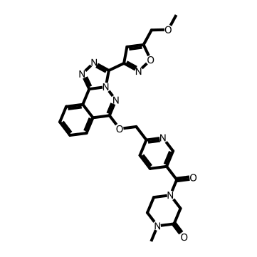 COCc1cc(-c2nnc3c4ccccc4c(OCc4ccc(C(=O)N5CCN(C)C(=O)C5)cn4)nn23)no1